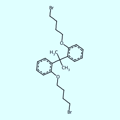 CC(C)(c1ccccc1OCCCCBr)c1ccccc1OCCCCBr